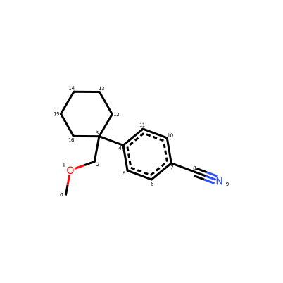 COCC1(c2ccc(C#N)cc2)CCCCC1